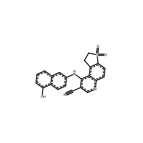 N#Cc1cnc2ccc3c(c2c1Nc1ccc2c(O)cccc2c1)CCS3(=O)=O